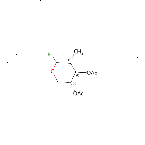 CC(=O)O[C@H]1[C@H](OC(C)=O)COC(Br)[C@@H]1C